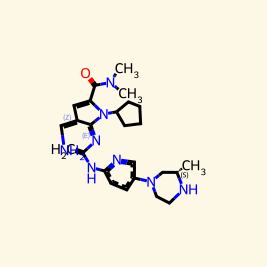 C=C(/N=C1\C(=C/N)C=C(C(=O)N(C)C)N1C1CCCC1)Nc1ccc(N2CCN[C@@H](C)C2)cn1